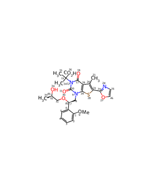 COc1ccccc1[C@H](Cn1c(=O)n(C(C)(C)C(=O)O)c(=O)c2c(C)c(-c3ncco3)sc21)OC[C@@H](C)O